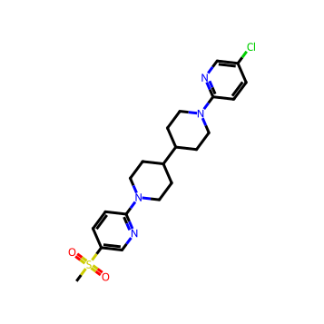 CS(=O)(=O)c1ccc(N2CCC(C3CCN(c4ccc(Cl)cn4)CC3)CC2)nc1